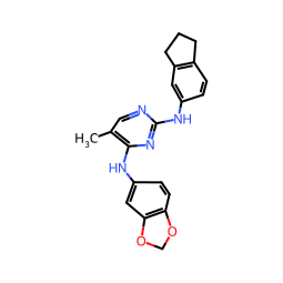 Cc1cnc(Nc2ccc3c(c2)CCC3)nc1Nc1ccc2c(c1)OCO2